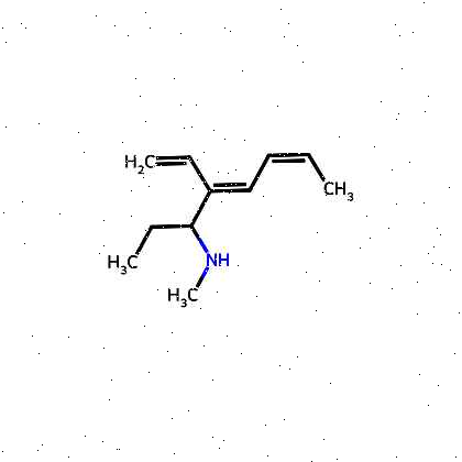 C=C/C(=C\C=C/C)C(CC)NC